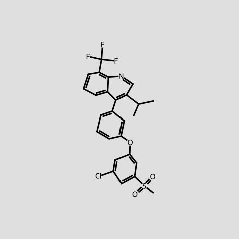 CC(C)c1cnc2c(C(F)(F)F)cccc2c1-c1cccc(Oc2cc(Cl)cc(S(C)(=O)=O)c2)c1